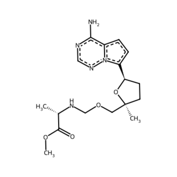 COC(=O)[C@H](C)NCOC[C@]1(C)CC[C@H](c2ccc3c(N)ncnn23)O1